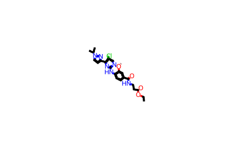 CCOC(=O)CCNC(=O)c1ccc(Nc2ncc(Cl)c(-c3ccn(C(C)C)n3)n2)c(OC)c1